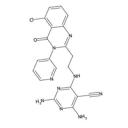 N#Cc1c(N)nc(N)nc1NCCc1nc2cccc(Cl)c2c(=O)n1-c1cccnc1